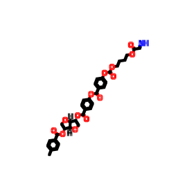 Cc1ccc(C(=O)O[C@H]2CO[C@H]3[C@@H]2OC[C@H]3OC(=O)c2ccc(OC(=O)c3ccc(OC(=O)OCCCCOC(=O)C=N)cc3)cc2)cc1